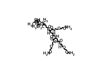 CCP(=O)(O)OC(C)(C)COC(C)(C)CCC(=O)NC(CCC(=O)NC(CCC(=O)NCCOCCON)C(=O)NCCOCCON)C(=O)NCCOCCON